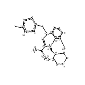 Cc1ccc(CC2C=C(C(N)=O)N([C@H]3CCOC[C@@H]3O)c3c(F)cccc32)cn1